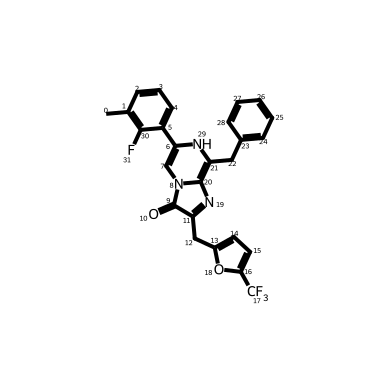 Cc1cccc(-c2cn3c(=O)c(Cc4ccc(C(F)(F)F)o4)nc-3c(Cc3ccccc3)[nH]2)c1F